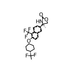 CC(F)(F)[C@H]1CC[C@H](Oc2ccc3cc([C@]4(C)COC(=O)N4)ccc3c2C(F)(F)F)CC1